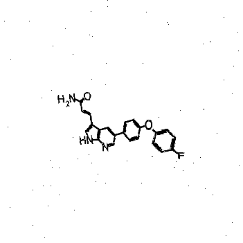 NC(=O)C=Cc1c[nH]c2ncc(-c3ccc(Oc4ccc(F)cc4)cc3)cc12